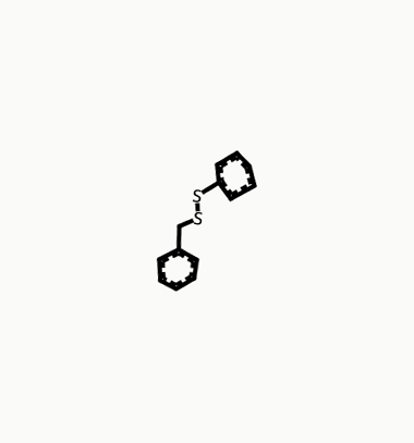 c1ccc(CSSc2ccccc2)cc1